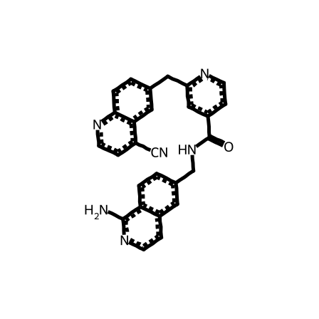 N#Cc1ccnc2ccc(Cc3cc(C(=O)NCc4ccc5c(N)nccc5c4)ccn3)cc12